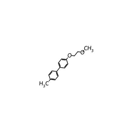 COCCOc1ccc(-c2ccc(C)cc2)cc1